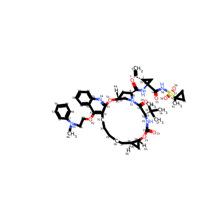 C=C[C@@H]1C[C@]1(NC(=O)[C@@H]1C[C@@H]2CN1C(=O)[C@H](C(C)(C)C)NC(=O)O[C@@H]1C[C@H]1CCCCCc1c(nc3ccccc3c1OCCN(C)c1ccccc1)O2)C(=O)NS(=O)(=O)C1(C)CC1